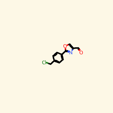 O=Cc1coc(-c2ccc(CCl)cc2)n1